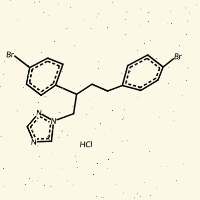 Brc1ccc(CCC(Cn2cncn2)c2ccc(Br)cc2)cc1.Cl